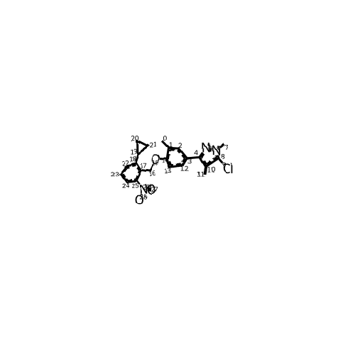 Cc1cc(-c2nn(C)c(Cl)c2C)ccc1OCc1c(C2CC2)cccc1[N+](=O)[O-]